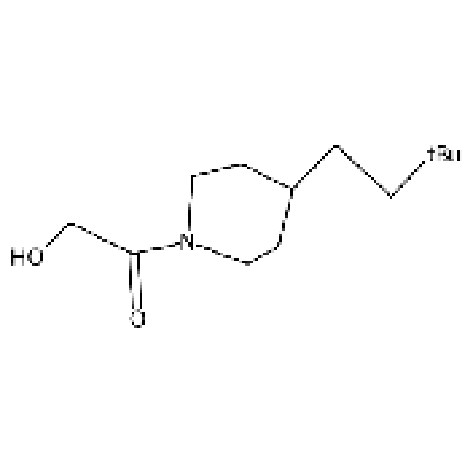 CC(C)(C)CCC1CCN(C(=O)CO)CC1